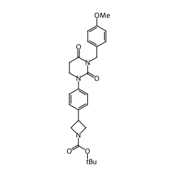 COc1ccc(CN2C(=O)CCN(c3ccc(C4CN(C(=O)OC(C)(C)C)C4)cc3)C2=O)cc1